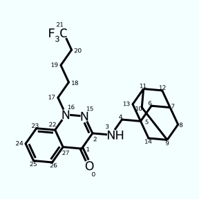 O=c1c(NCC23CC4CC(CC(C4)C2)C3)nn(CCCCC(F)(F)F)c2ccccc12